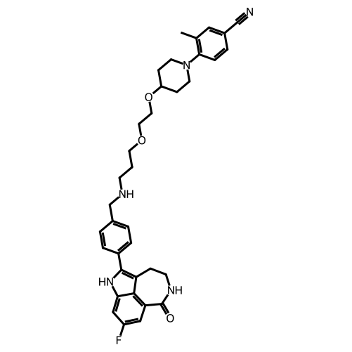 Cc1cc(C#N)ccc1N1CCC(OCCOCCCNCc2ccc(-c3[nH]c4cc(F)cc5c4c3CCNC5=O)cc2)CC1